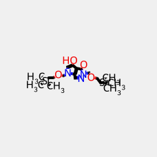 C[Si](C)(C)CCOCn1ncc2c(c(O)cn2COCC[Si](C)(C)C)c1=O